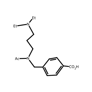 CCN(CC)CCCN(Cc1ccc(C(=O)O)cc1)C(C)=O